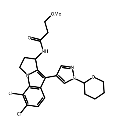 COCCC(=O)NC1CCn2c1c(-c1cnn(C3CCCCO3)c1)c1ccc(Cl)c(Cl)c12